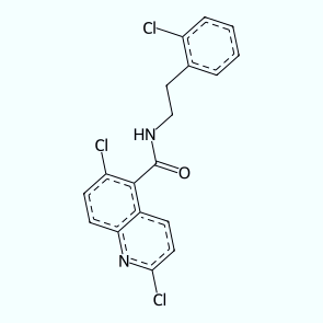 O=C(NCCc1ccccc1Cl)c1c(Cl)ccc2nc(Cl)ccc12